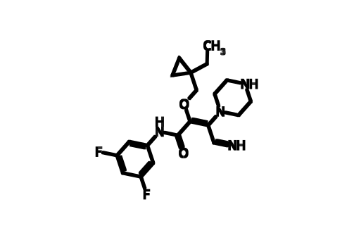 CCC1(CO/C(C(=O)Nc2cc(F)cc(F)c2)=C(/C=N)N2CCNCC2)CC1